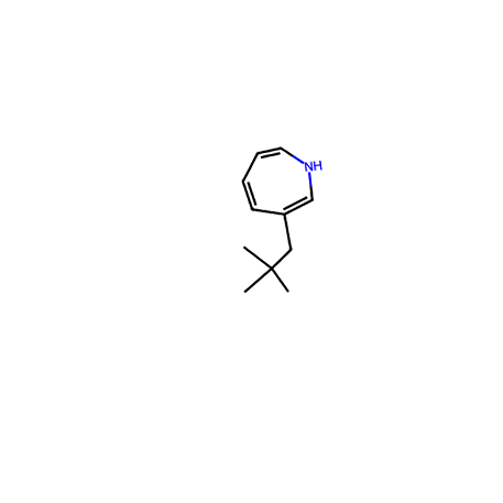 CC(C)(C)CC1=CNC=CC=C1